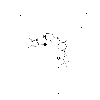 CCC1CN(OC(=O)C(C)(C)C)CCC1Nc1ccnc(Nc2cc(C)n(C)n2)n1